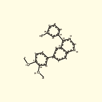 COc1ccc(-c2ccc3ncnc(-c4cccc(F)c4)c3c2)cc1OC